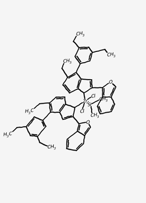 CCc1cc(CC)cc(-c2c(CC)ccc3c2C=C(c2occ4ccccc24)[CH]3[Zr]([Cl])([Cl])([CH]2C(c3occ4ccccc34)=Cc3c2ccc(CC)c3-c2cc(CC)cc(CC)c2)=[Si](C)C)c1